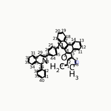 C=Cc1oc2c(c1/C=C\C)c1ccccc1c1c3ccccc3n(-c3ccc(-c4cc5ccccc5c(-c5ccccc5)n4)cc3)c21